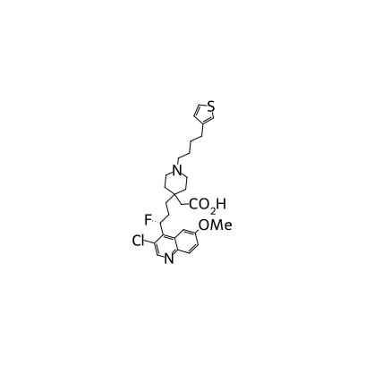 COc1ccc2ncc(Cl)c([C@H](F)CCC3(CC(=O)O)CCN(CCCCc4ccsc4)CC3)c2c1